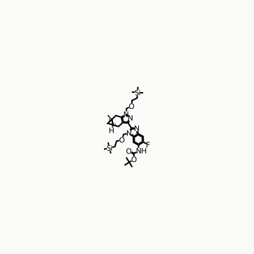 CC(C)(C)OC(=O)Nc1cc2c(cc1F)nc(-c1nn(COCC[Si](C)(C)C)c3c1C[C@@H]1C[C@]1(C)C3)n2COCC[Si](C)(C)C